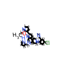 CCOc1ncccc1-c1ccc2c(n1)CN(C[C@H]1CCCN1)CC21CCN(c2ccc(Cl)cc2C#N)CC1